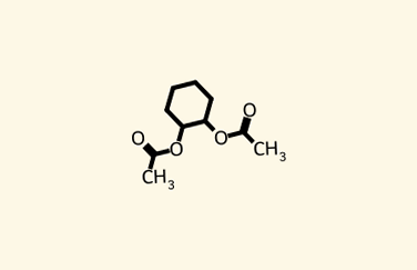 CC(=O)OC1CCCCC1OC(C)=O